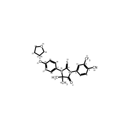 CC1(C)C(=O)N(c2ccc(C#N)c(C(F)(F)F)c2)C(=S)N1c1ccc(O[C@@H]2CCOC2)nc1